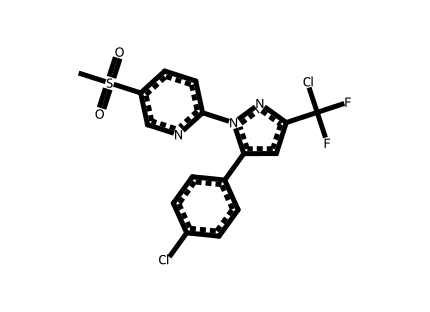 CS(=O)(=O)c1ccc(-n2nc(C(F)(F)Cl)cc2-c2ccc(Cl)cc2)nc1